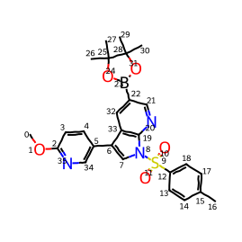 COc1ccc(-c2cn(S(=O)(=O)c3ccc(C)cc3)c3ncc(B4OC(C)(C)C(C)(C)O4)cc23)cn1